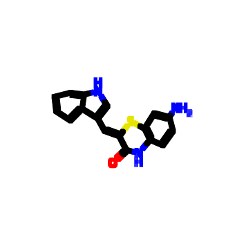 Nc1ccc2c(c1)SC(=Cc1c[nH]c3ccccc13)C(=O)N2